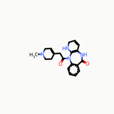 CN1CC=C(CC(=O)N2C3=C(C=CCN3)NC(=O)c3ccccc32)CC1